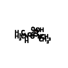 CCC(C)Nc1ccc2c(-c3ccccc3C(=O)O)c3ccc(=[N+](CC)CC)cc-3oc2c1